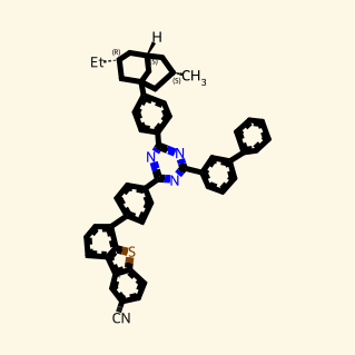 CC[C@@H]1C[C@@H]2C[C@H](C)CC(c3ccc(-c4nc(-c5ccc(-c6cccc7c6sc6ccc(C#N)cc67)cc5)nc(-c5cccc(-c6ccccc6)c5)n4)cc3)(C1)C2